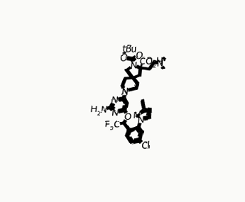 Cc1ccn(-c2cc(Cl)ccc2C(Oc2cc(N3CCC4(CC3)CN(C(=O)OC(C)(C)C)[C@@](CCN(C)C)(C(=O)O)C4)nc(N)n2)C(F)(F)F)n1